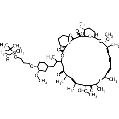 CO[C@H]1C[C@@H]2CC[C@@H](C)[C@@](O)(O2)C(=O)C(=O)N2CCCC[C@H]2C(=O)OC(C(C)C[C@@H]2CC[C@@H](OCCCO[Si](C)(C)C(C)(C)C)[C@H](OC)C2)CC(=O)[C@H](C)/C=C(\C)[C@@H](O)[C@@H](OC)C(=O)[C@H](C)C[C@H](C)/C=C/C=C/C=C/1C